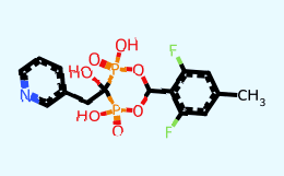 Cc1cc(F)c(C2OP(=O)(O)C(O)(Cc3cccnc3)P(=O)(O)O2)c(F)c1